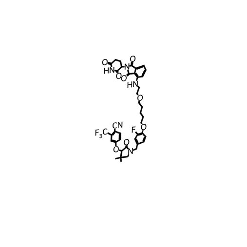 CC1(C)CN(Cc2ccc(OCCCCCOCCNc3cccc4c3C(=O)N(C3CCC(=O)NC3=O)C4=O)c(F)c2)C(=O)C1Oc1ccc(C#N)c(C(F)(F)F)c1